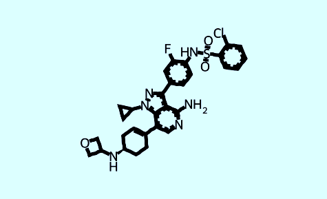 Nc1ncc(C2=CC[C@H](NC3COC3)CC2)c2c1c(-c1ccc(NS(=O)(=O)c3ccccc3Cl)c(F)c1)nn2C1CC1